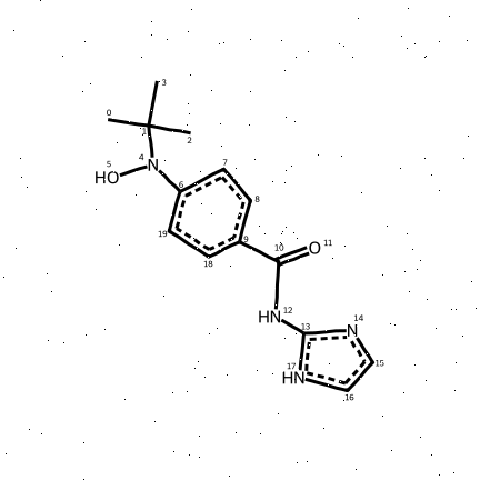 CC(C)(C)N(O)c1ccc(C(=O)Nc2ncc[nH]2)cc1